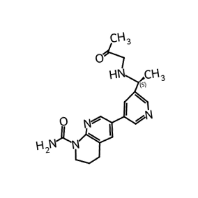 CC(=O)CN[C@@H](C)c1cncc(-c2cnc3c(c2)CCCN3C(N)=O)c1